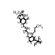 CCCNc1cc(C(F)(F)F)ccc1CCC(=O)NCc1cc(F)c(NS(C)(=O)=O)c(F)c1